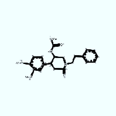 COC(=O)NC1CN(CCc2ccccc2)C(=O)CC1c1ccc(OC)c(OC)c1